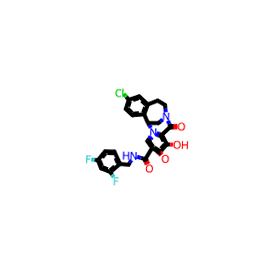 O=C(NCc1ccc(F)cc1F)c1cn2c(c(O)c1=O)C(=O)N1CCc3cc(Cl)ccc3C2C1